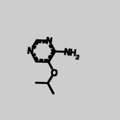 CC(C)Oc1cncnc1N